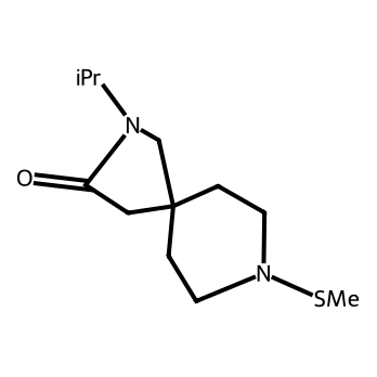 CSN1CCC2(CC1)CC(=O)N(C(C)C)C2